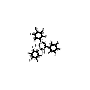 Fc1c(F)c(F)c(-c2cn(-c3c(F)c(F)c(F)c(F)c3F)[nH]n(-c3c(F)c(F)c(F)c(F)c3F)[nH]2)c(F)c1F